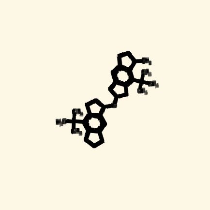 CC1CCc2cc3c(c(C(C)(C)C)c21)CC(OC1CCc2c1cc1c(c2C(C)(C)C)CCC1)C3